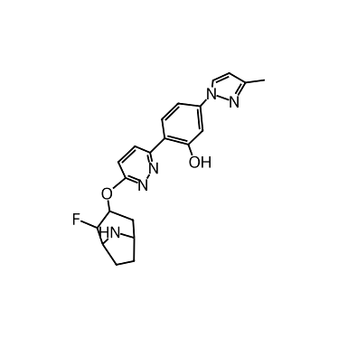 Cc1ccn(-c2ccc(-c3ccc(OC4CC5CCC(N5)C4F)nn3)c(O)c2)n1